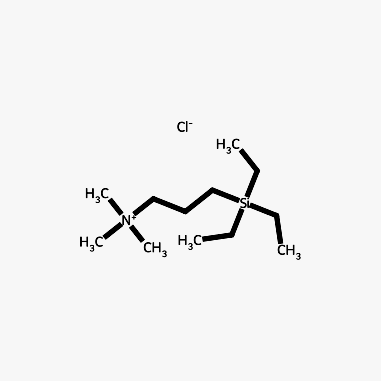 CC[Si](CC)(CC)CCC[N+](C)(C)C.[Cl-]